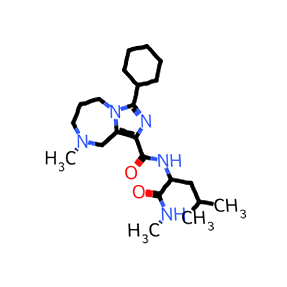 CNC(=O)C(CC(C)C)NC(=O)c1nc(C2CCCCC2)n2c1CN(C)CCC2